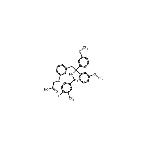 N#CC(=O)COc1cccc(CC(NC(=O)c2ccc(F)c(C(F)(F)F)c2)(c2cccc(OC(F)(F)F)c2)c2cccc(OC(F)(F)F)c2)c1